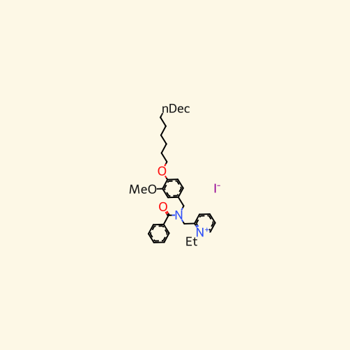 CCCCCCCCCCCCCCCCOc1ccc(CN(Cc2cccc[n+]2CC)C(=O)c2ccccc2)cc1OC.[I-]